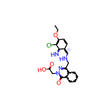 CCOC1=C(Cl)C(=N)/C(=C\NCc2nn(CC(=O)O)c(=O)c3ccccc23)C=C1